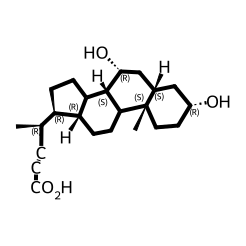 C[C@H](CCC(=O)O)[C@H]1CCC2[C@H]3C(CC[C@@H]21)[C@@]1(C)CC[C@@H](O)C[C@H]1C[C@H]3O